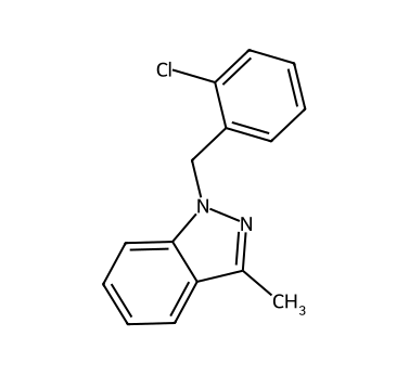 Cc1nn(Cc2ccccc2Cl)c2ccccc12